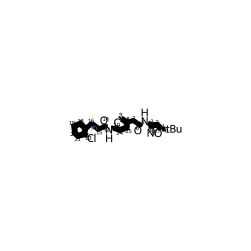 CC(C)(C)c1cc(NC(=O)Cc2ccc(NC(=O)/C=C/c3ccccc3Cl)cc2)no1